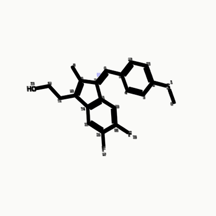 CSc1ccc(/C=C2/C(C)=C(CCO)c3cc(F)c(F)cc32)cc1